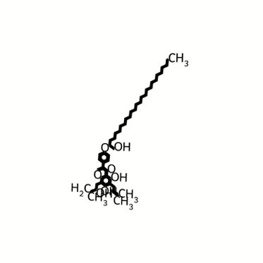 C=C(C)C(O)Cc1c(O)c(CC=C(C)C)c(O)c2c(=O)c(-c3ccc(OC(CO)CCCCCCCCCCCCCCCCCCCCCCCC)cc3)coc12